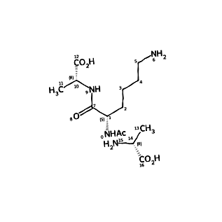 CC(=O)N[C@@H](CCCCN)C(=O)N[C@H](C)C(=O)O.C[C@@H](N)C(=O)O